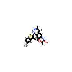 CCc1ccc2sc(C3=NN=C(C)Cc4cc5c(cc43)OC(C)C(=O)N5)c(CC)c2c1